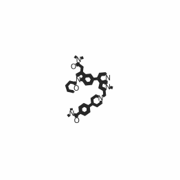 CN(C)C(=O)Cc1cn(C2CCCCO2)c2ccc(-c3ccnc4c3cc(CN3CCC(c5ccc(C(=O)N(C)C)cc5)CC3)n4C)cc12